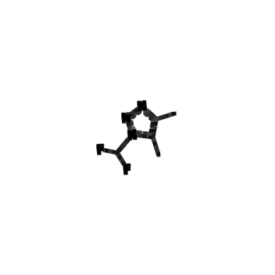 Cc1nnn(C(F)F)c1C